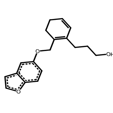 OCCCC1=C(COc2ccc3occc3c2)CCC=C1